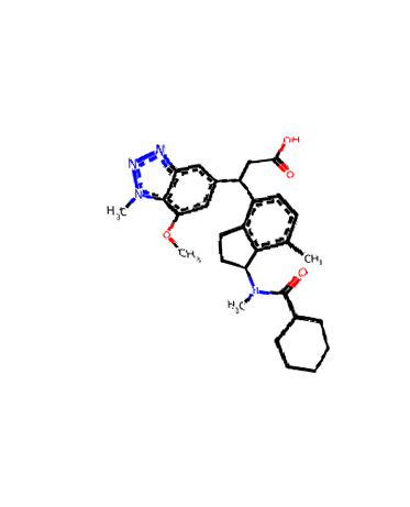 COc1cc(C(CC(=O)O)c2ccc(C)c3c2CCC3N(C)C(=O)C2CCCCC2)cc2nnn(C)c12